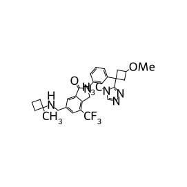 COC1CC(c2cccc(N3Cc4c(cc(CNC5(C)CCC5)cc4C(F)(F)F)C3=O)c2)(c2nncn2C)C1